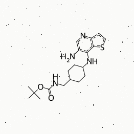 CC(C)(C)OC(=O)NCC1CCC(Nc2c(N)cnc3ccsc23)CC1